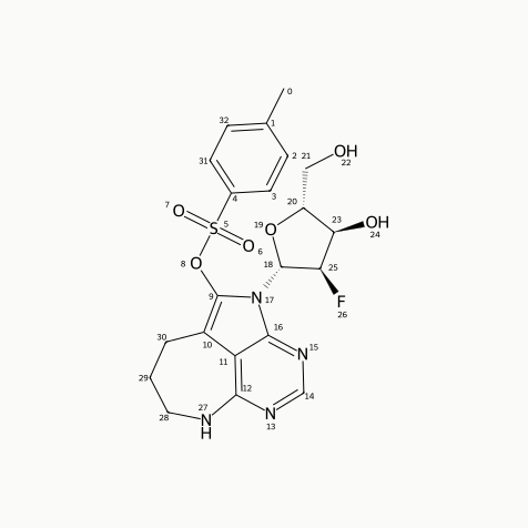 Cc1ccc(S(=O)(=O)Oc2c3c4c(ncnc4n2[C@@H]2O[C@H](CO)[C@@H](O)[C@H]2F)NCCC3)cc1